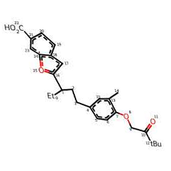 CCC(CCc1ccc(OCC(=O)C(C)(C)C)c(C)c1)c1cc2ccc(C(=O)O)cc2o1